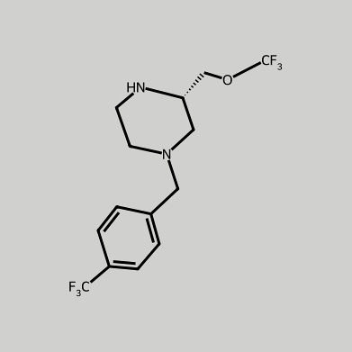 FC(F)(F)OC[C@@H]1CN(Cc2ccc(C(F)(F)F)cc2)CCN1